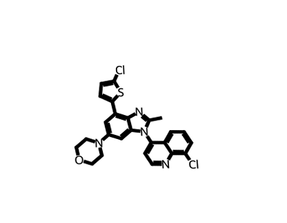 Cc1nc2c(-c3ccc(Cl)s3)cc(N3CCOCC3)cc2n1-c1ccnc2c(Cl)cccc12